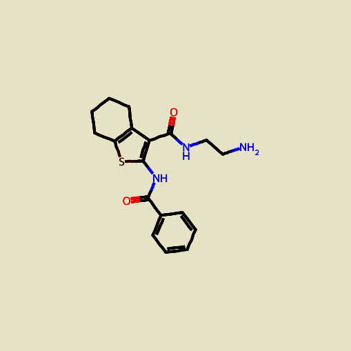 NCCNC(=O)c1c(NC(=O)c2ccccc2)sc2c1CCCC2